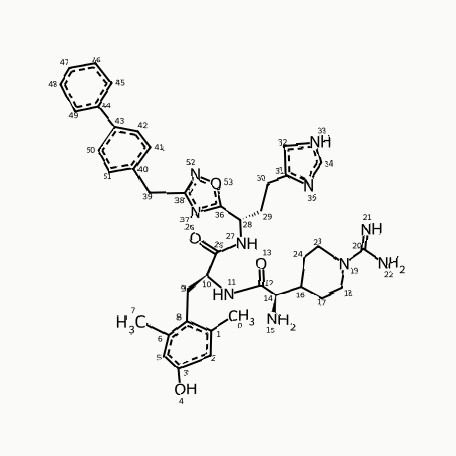 Cc1cc(O)cc(C)c1C[C@H](NC(=O)[C@H](N)C1CCN(C(=N)N)CC1)C(=O)N[C@@H](CCc1c[nH]cn1)c1nc(Cc2ccc(-c3ccccc3)cc2)no1